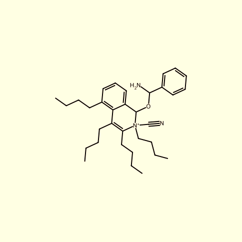 CCCCC1=C(CCCC)[N+](C#N)(CCCC)C(OC(N)c2ccccc2)c2cccc(CCCC)c21